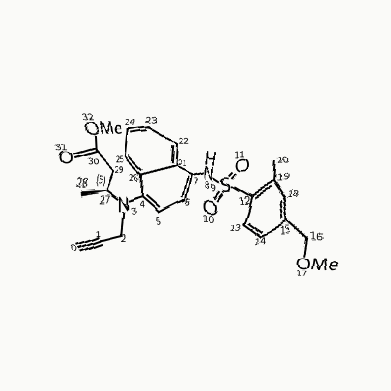 C#CCN(c1ccc(NS(=O)(=O)c2ccc(COC)cc2C)c2ccccc12)[C@@H](C)CC(=O)OC